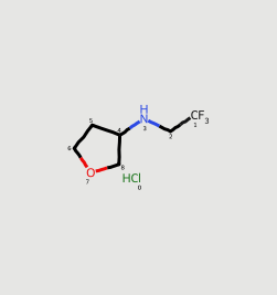 Cl.FC(F)(F)CNC1CCOC1